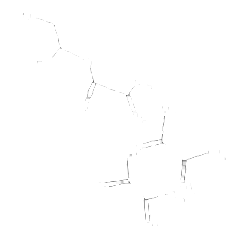 C=C(C)C(=O)O.C=C(C)C(=O)O.C=C(C)C(=O)OC(O)CC